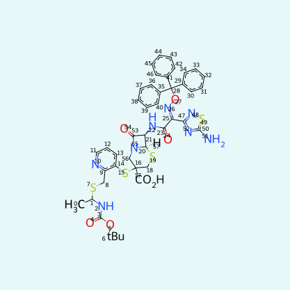 CC(NC(=O)OC(C)(C)C)SCc1ncccc1SC1(C(=O)O)CS[C@@H]2[C@H](NC(=O)C(=NOC(c3ccccc3)(c3ccccc3)c3ccccc3)c3nsc(N)n3)C(=O)N2C1